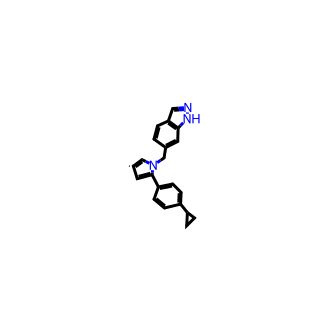 [c]1cc(-c2ccc(C3CC3)cc2)n(Cc2ccc3cn[nH]c3c2)c1